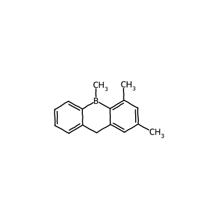 CB1c2ccccc2Cc2cc(C)cc(C)c21